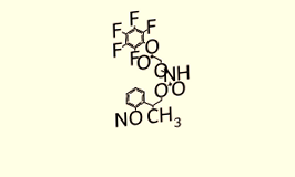 CC(COC(=O)NOCC(=O)Oc1c(F)c(F)c(F)c(F)c1F)c1ccccc1N=O